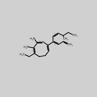 C=C/C=C(\C=C/C(C)CC)C1=CCC/C(CC)=C(N)\C(N)=N/1